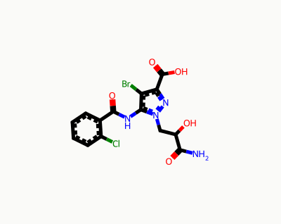 NC(=O)C(O)Cn1nc(C(=O)O)c(Br)c1NC(=O)c1ccccc1Cl